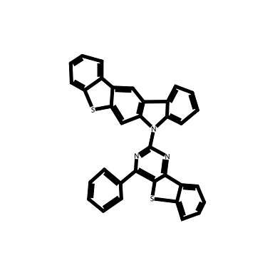 c1ccc(-c2nc(-n3c4ccccc4c4cc5c(cc43)sc3ccccc35)nc3c2sc2ccccc23)cc1